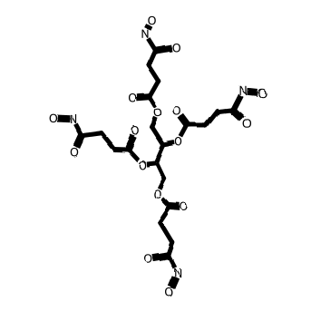 O=NC(=O)CCC(=O)OCC(OC(=O)CCC(=O)N=O)C(COC(=O)CCC(=O)N=O)OC(=O)CCC(=O)N=O